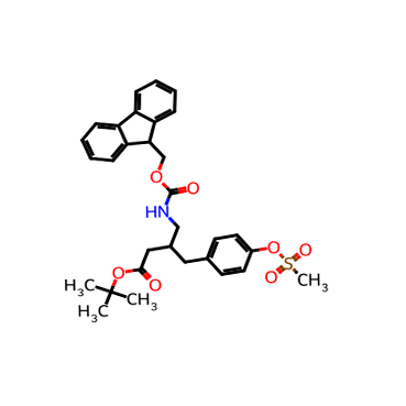 CC(C)(C)OC(=O)CC(CNC(=O)OCC1c2ccccc2-c2ccccc21)Cc1ccc(OS(C)(=O)=O)cc1